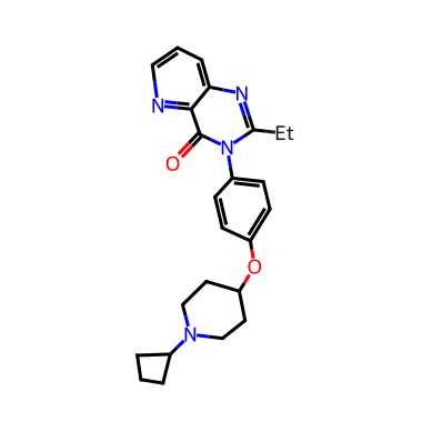 CCc1nc2cccnc2c(=O)n1-c1ccc(OC2CCN(C3CCC3)CC2)cc1